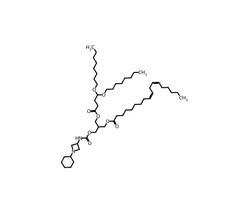 CCCCC/C=C\C/C=C\CCCCCCCC(=O)OCC(COC(=O)CCC(OCCCCCCCC)OCCCCCCCC)COC(=O)NC1CN(C2CCCCC2)C1